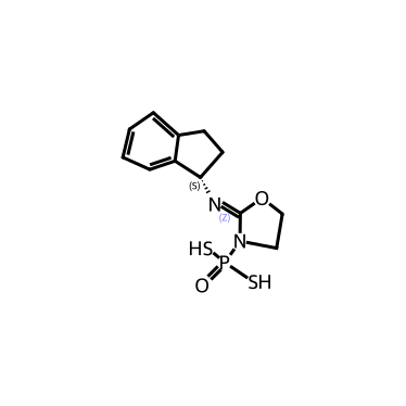 O=P(S)(S)N1CCO/C1=N\[C@H]1CCc2ccccc21